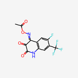 CC(=O)ON=C1C(=O)C(=O)Nc2cc(C(F)(F)F)c(F)cc21